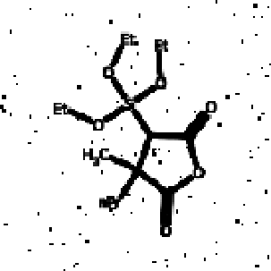 CCCC1(C)C(=O)OC(=O)C1[Si](OCC)(OCC)OCC